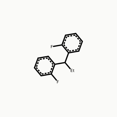 CCC(c1ccccc1F)c1ccccc1F